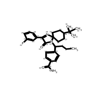 CCCC(c1ccc(C(N)=O)cc1)N1C(=O)C(c2cccc(F)c2)=NC12CCC(C(C)(C)C)CC2